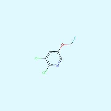 FCOc1cnc(Cl)c(Cl)c1